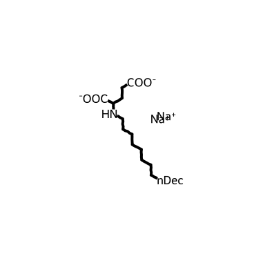 CCCCCCCCCCCCCCCCCCNC(CCC(=O)[O-])C(=O)[O-].[Na+].[Na+]